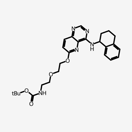 CC(C)(C)OC(=O)NCCOCCOc1ccc2ncnc(NC3CCCc4ccccc43)c2n1